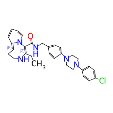 CC/C1=C(\C(=O)NCc2ccc(N3CCN(c4ccc(Cl)cc4)CC3)cc2)N2C=CC=C/C2=C\CCN1